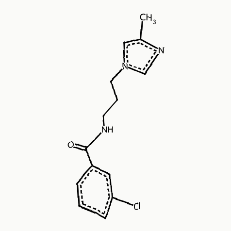 Cc1cn(CCCNC(=O)c2cccc(Cl)c2)cn1